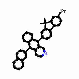 CC(C)c1ccc2c(c1)C(C)(C)c1cc(-c3c4ccccc4c(-c4ccc5ccccc5c4)c4ccncc34)ccc1-2